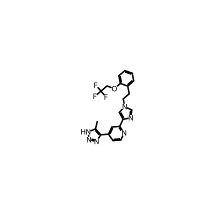 Cc1[nH]nnc1-c1ccnc(-c2cn(CCc3ccccc3OCC(F)(F)F)cn2)c1